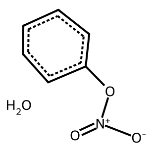 O.O=[N+]([O-])Oc1ccccc1